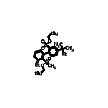 C=S(=O)(OCC(C)(C)C)C1=C(c2ccc(C(C)(C)CC)cc2S(=O)(=O)OCC(C)(C)C)C=CCC1CC